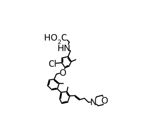 Cc1cc(OCc2cccc(-c3cccc(/C=C/CCN4CCOCC4)c3C)c2C)c(Cl)cc1CNCC(=O)O